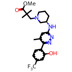 COC(=O)C(C)(C)CN1CCC[C@@H](Nc2cc(C)c(-c3ccc(C(F)(F)F)cc3O)nn2)C1